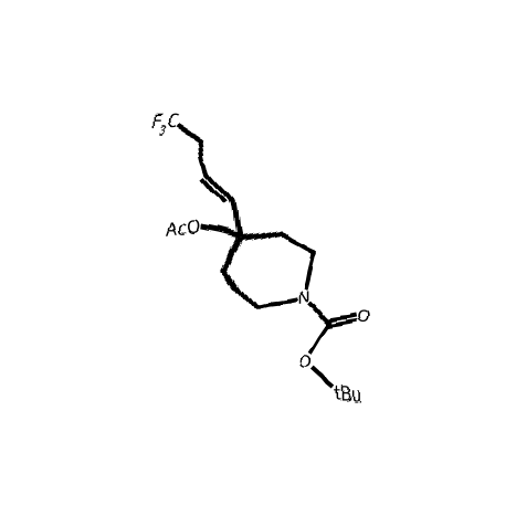 CC(=O)OC1(/C=C/CC(F)(F)F)CCN(C(=O)OC(C)(C)C)CC1